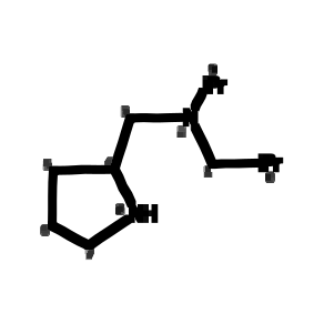 CC(C)CN(CC1CCCN1)C(C)C